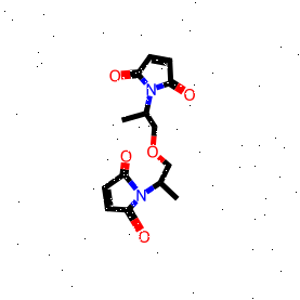 CC(COCC(C)N1C(=O)C=CC1=O)N1C(=O)C=CC1=O